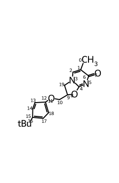 Cc1cn2c(nc1=O)OC(COc1ccc(C(C)(C)C)cc1)C2